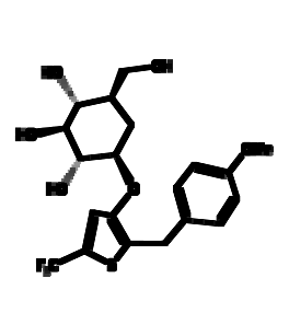 COc1ccc(Cc2sc(C(F)(F)F)cc2O[C@@H]2C[C@H](CO)[C@@H](O)[C@H](O)[C@H]2O)cc1